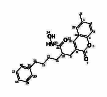 Cc1ccc2oc(=O)c(CC(CCCCc3ccccc3)C(=O)NO)cc2c1